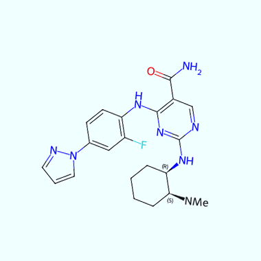 CN[C@H]1CCCC[C@H]1Nc1ncc(C(N)=O)c(Nc2ccc(-n3cccn3)cc2F)n1